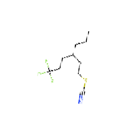 CCCC(CCSC#N)CCC(F)(F)F